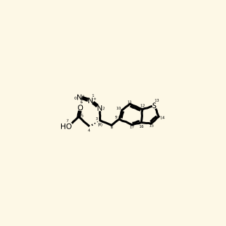 [N-]=[N+]=N[C@@H](CC(=O)O)Cc1ccc2sccc2c1